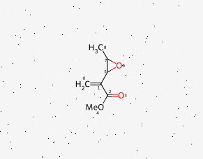 C=C(C(=O)OC)C1OC1C